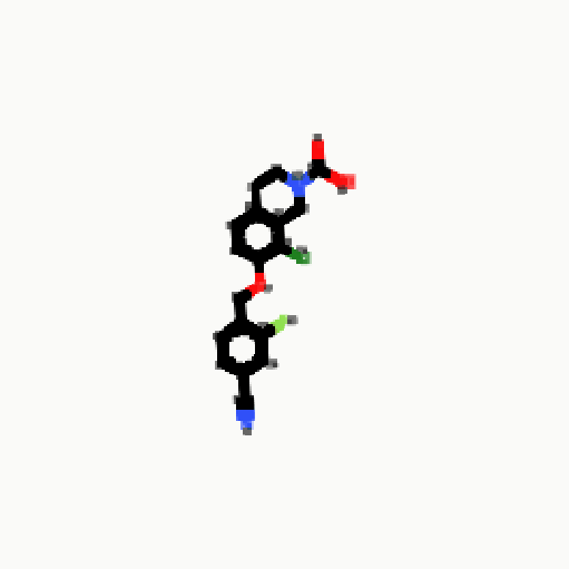 N#Cc1ccc(COc2ccc3c(c2Cl)CN(C(=O)O)CC3)c(F)c1